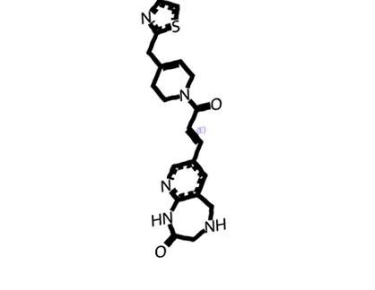 O=C1CNCc2cc(/C=C/C(=O)N3CC=C(Cc4nccs4)CC3)cnc2N1